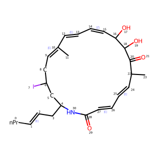 CCC/C=C/CC1CC(I)C/C=C(C)/C=C/C=C\C(O)C(O)C(=O)C(C)/C=C/C=C/C(=O)N1